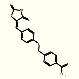 CC(=O)c1ccc(COc2ccc(C=C3SC(=S)NC3=O)cc2)cc1